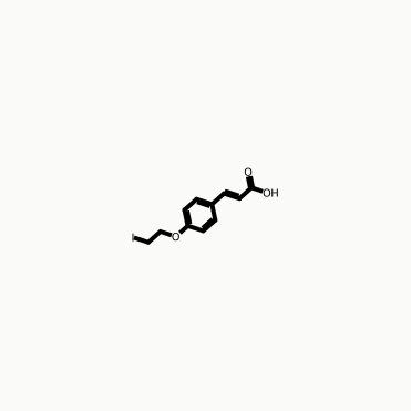 O=C(O)C=Cc1ccc(OCCI)cc1